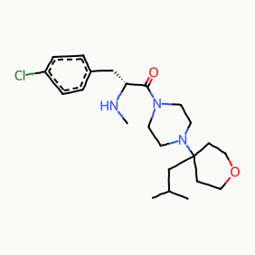 CN[C@H](Cc1ccc(Cl)cc1)C(=O)N1CCN(C2(CC(C)C)CCOCC2)CC1